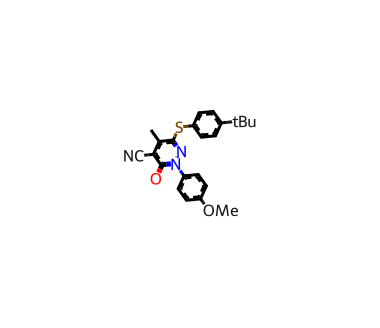 COc1ccc(-n2nc(Sc3ccc(C(C)(C)C)cc3)c(C)c(C#N)c2=O)cc1